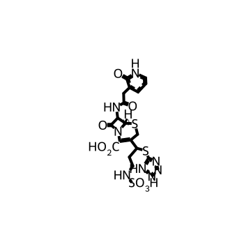 O=C(Cc1ccc[nH]c1=O)NC1C(=O)N2C(C(=O)O)=C(C(CCNS(=O)(=O)O)Sc3nnn[nH]3)CS[C@@H]12